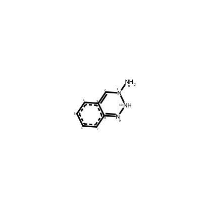 NN1C=c2ccccc2=NN1